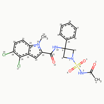 CC(=O)NS(=O)(=O)N1CC(NC(=O)c2cc3c(Cl)c(Cl)ccc3n2C)(c2ccccc2)C1